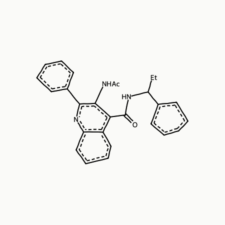 CCC(NC(=O)c1c(NC(C)=O)c(-c2ccccc2)nc2ccccc12)c1ccccc1